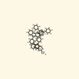 FC(F)(F)c1ccc2c(c1)c1ccccc1n2-c1ccc(-c2nc(-c3ccccc3)nc(-c3ccccc3)n2)cc1-c1c(-c2ccccn2)cccc1-n1c2ccccc2c2cc(C(F)(F)F)ccc21